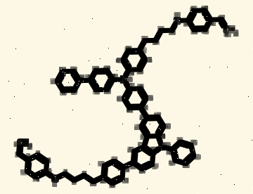 C=Cc1ccc(OCCCCc2ccc(-c3ccc4c(c3)c3cc(-c5ccc(N(c6ccc(CCCCOc7ccc(C=C)cc7)cc6)c6ccc(-c7ccccc7)cc6)cc5)ccc3n4-c3ccccc3)cc2)cc1